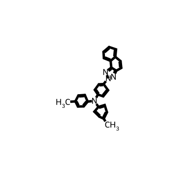 Cc1ccc(N(c2ccc(C)cc2)c2ccc(-n3nc4ccc5ccccc5c4n3)cc2)cc1